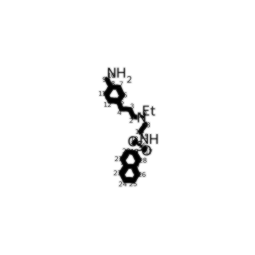 CCN(CCCc1ccc(CN)cc1)CCNS(=O)(=O)c1ccc2ccccc2c1